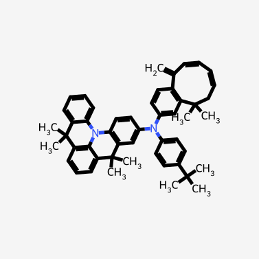 C=C1/C=C\C=C/CC(C)(C)c2cc(N(c3ccc(C(C)(C)C)cc3)c3ccc4c(c3)C(C)(C)c3cccc5c3N4c3ccccc3C5(C)C)ccc21